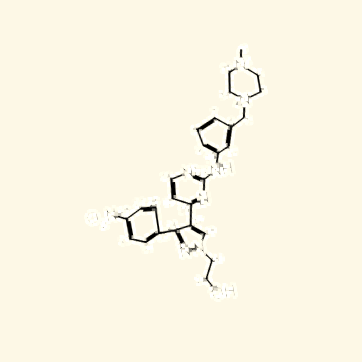 CN1CCN(Cc2cccc(Nc3nccc(-c4cn(CCO)nc4-c4ccc([N+](=O)[O-])cc4)n3)c2)CC1